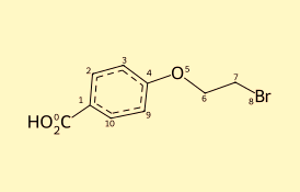 O=C(O)c1ccc(OCCBr)cc1